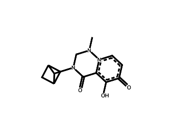 CN1CN(C2C3CC2C3)C(=O)c2c(O)c(=O)ccn21